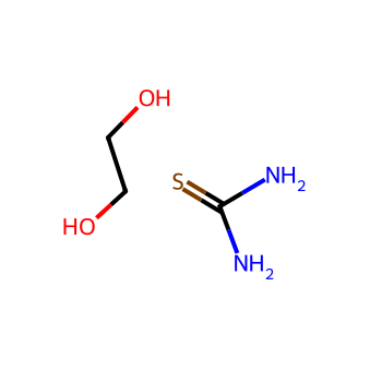 NC(N)=S.OCCO